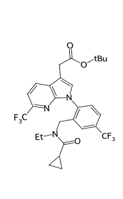 CCN(Cc1cc(C(F)(F)F)ccc1-n1cc(CC(=O)OC(C)(C)C)c2ccc(C(F)(F)F)nc21)C(=O)C1CC1